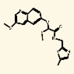 CSc1cnc2ccc(OC(SC)C(=O)NCc3ncc(C)s3)cc2c1